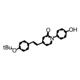 CC(C)(C)Oc1ccc(C=Cc2ccn(-c3ccc(O)cc3)c(=O)c2)cc1